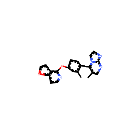 Cc1cc(Oc2nccc3occc23)ccc1-c1c(C)cnc2nccn12